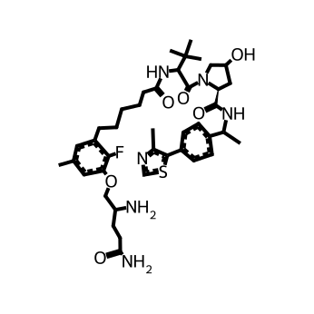 Cc1cc(CCCCCC(=O)NC(C(=O)N2CC(O)C[C@H]2C(=O)NC(C)c2ccc(-c3scnc3C)cc2)C(C)(C)C)c(F)c(OCC(N)CCC(N)=O)c1